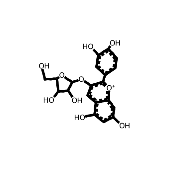 OCC1OC(Oc2cc3c(O)cc(O)cc3[o+]c2-c2ccc(O)c(O)c2)C(O)C1O